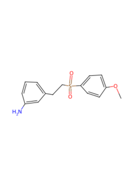 COc1ccc(S(=O)(=O)CCc2cccc(N)c2)cc1